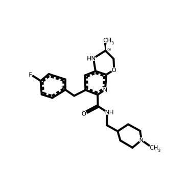 C[C@H]1COc2nc(C(=O)NCC3CCN(C)CC3)c(Cc3ccc(F)cc3)cc2N1